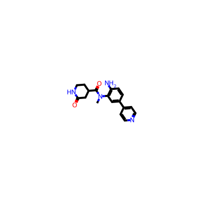 CN(C(=O)C1CCNC(=O)C1)c1cc(-c2ccncc2)ccc1N